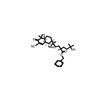 CCCC(C)(C)CC[C@@](C)(CCC(C)(C)[C@]1(C)CC[C@H]2C(C)(C)C(=O)C(C#N)=C[C@]2(C)[C@H]1CC(C)=O)C(=O)OCc1ccccc1